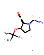 CC(C)(C)OC1CCN(CN)C1=C=O